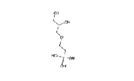 OCC(O)COCCC(O)(O)O